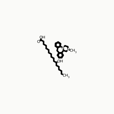 CCCCCCC(O)CCCCCCCCCCC(=O)O.CN1CCN2c3ccccc3Cc3ccccc3C2C1